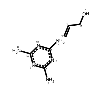 C=CCO.Nc1nc(N)nc(N)n1